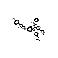 CN(C)Cc1cccc(-c2c(-c3cnn(C)c3)oc3nc(Nc4ccccc4)nc(Oc4ccc(NC(=O)c5cn(C)n(-c6ccc(F)cc6)c5=O)cc4)c23)c1